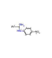 CC(C)C(N)Nc1ccc([N+](=O)[O-])cc1